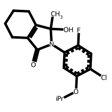 CC(C)Oc1cc(N2C(=O)C3=C(CCCC3)C2(C)O)c(F)cc1Cl